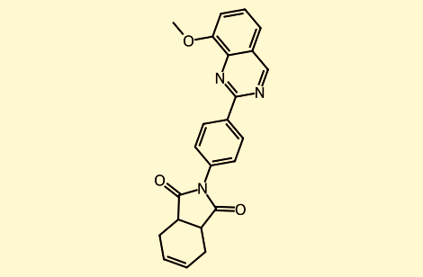 COc1cccc2cnc(-c3ccc(N4C(=O)C5CC=CCC5C4=O)cc3)nc12